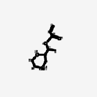 C=CC(=O)OC(C)C1CNCCO1